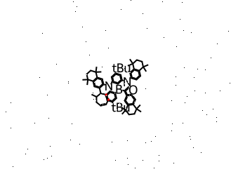 CC1CC=CC=CC1c1cc2c(cc1N1c3ccc(C(C)(C)C)cc3B3c4c1cc(C(C)(C)C)cc4N(c1ccc4c(c1)C(C)(C)CCC4(C)C)c1oc4cc5c(cc4c13)C(C)(C)CCC5(C)C)C(C)(C)CCC2(C)C